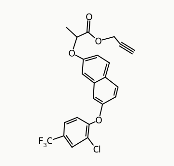 C#CCOC(=O)C(C)Oc1ccc2ccc(Oc3ccc(C(F)(F)F)cc3Cl)cc2c1